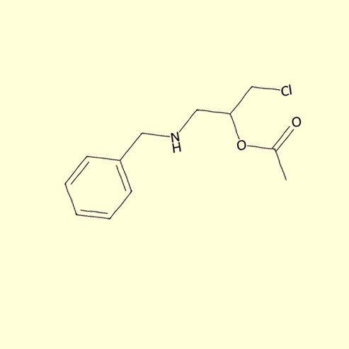 CC(=O)OC(CCl)CNCc1ccccc1